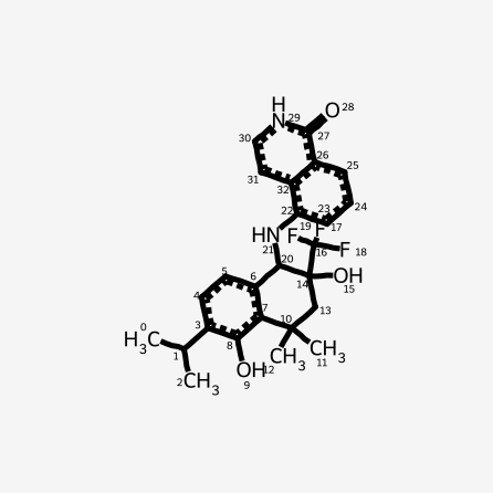 CC(C)c1ccc2c(c1O)C(C)(C)CC(O)(C(F)(F)F)C2Nc1cccc2c(=O)[nH]ccc12